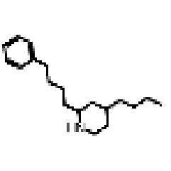 [CH2]CCCC1CCNC(CCCCc2ccccc2)C1